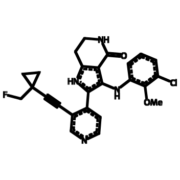 COc1c(Cl)cccc1Nc1c(-c2ccncc2C#CC2(CF)CC2)[nH]c2c1C(=O)NCC2